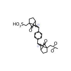 CC1(C)C2CCC1(CS(C)(=O)=O)C(=O)/C2=C\c1ccc(/C=C2\C(=O)C3(CS(=O)(=O)O)CCC2C3(C)C)cc1